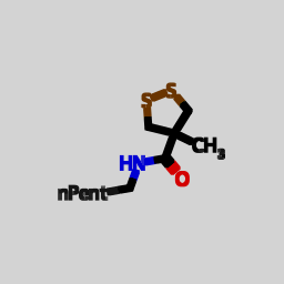 CCCCCCNC(=O)C1(C)CSSC1